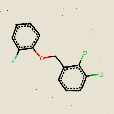 Fc1c[c]ccc1OCc1cccc(Cl)c1Cl